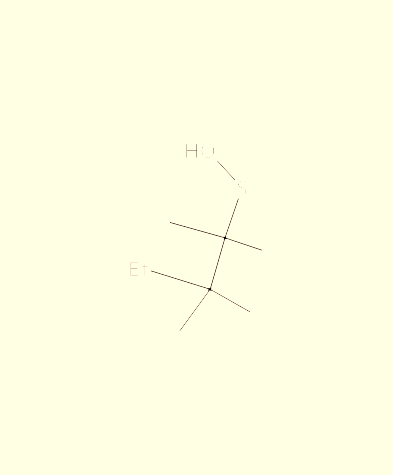 CCC(C)(C)C(C)(C)SO